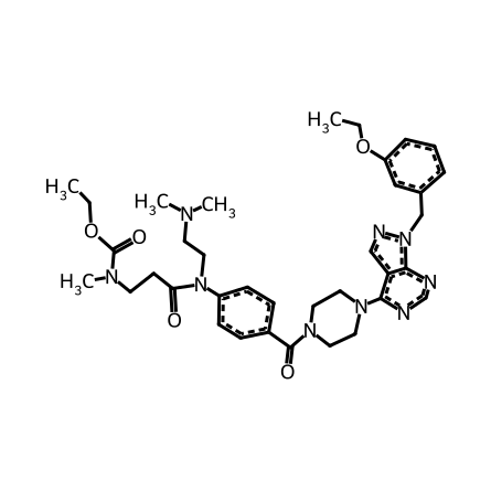 CCOC(=O)N(C)CCC(=O)N(CCN(C)C)c1ccc(C(=O)N2CCN(c3ncnc4c3cnn4Cc3cccc(OCC)c3)CC2)cc1